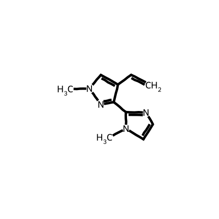 C=Cc1cn(C)nc1-c1nccn1C